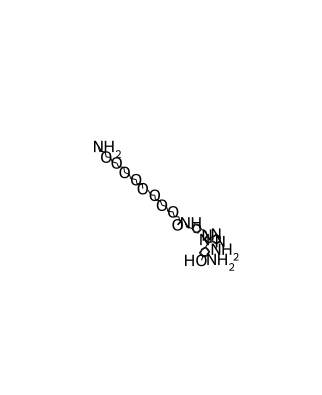 NCCOCCOCCOCCOCCOCCOCCOCCOCCC(=O)NCc1ccc(Cn2nc(-c3ccc(O)c(N)c3)c3c(N)ncnc32)cc1